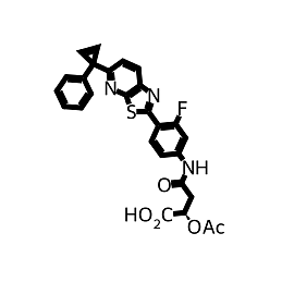 CC(=O)O[C@@H](CC(=O)Nc1ccc(-c2nc3ccc(C4(c5ccccc5)C=C4)nc3s2)c(F)c1)C(=O)O